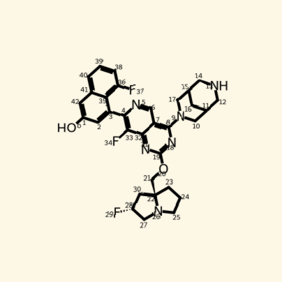 Oc1cc(-c2ncc3c(N4CC5CNCC(C5)C4)nc(OC[C@@]45CCCN4C[C@H](F)C5)nc3c2F)c2c(F)cccc2c1